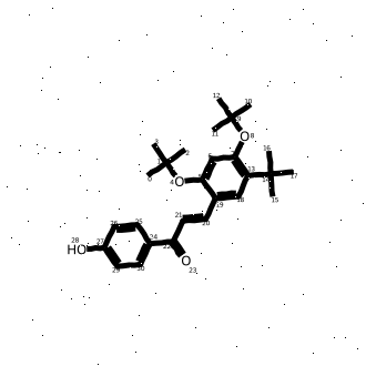 CC(C)(C)Oc1cc(OC(C)(C)C)c(C(C)(C)C)cc1C=CC(=O)c1ccc(O)cc1